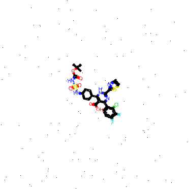 CC(C)(C)OC(=O)NS(=O)(=O)NC1CCC(C2=C(C(=O)O)C(c3ccc(F)c(F)c3Cl)N=C(c3nccs3)N2)CC1